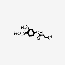 Nc1cc(NC(=O)CCCl)ccc1S(=O)(=O)O